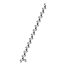 S=S=S=S=S=S=S=S=S=S=S=S=S=S=S=S=S=S=S=S=S=S=S=S=S=S(=S)=S